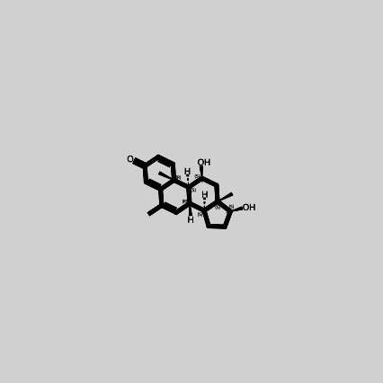 CC1=C[C@@H]2[C@H]([C@@H](O)C[C@]3(C)[C@@H](O)CC[C@@H]23)[C@@]2(C)C=CC(=O)C=C12